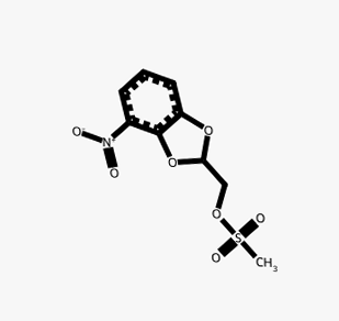 CS(=O)(=O)OCC1Oc2cccc([N+](=O)[O-])c2O1